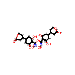 O=C1CC(C2CC(=O)C(C(=NO)OC(=NO)C3=C(O)CC(C4CCOC(=O)C4)CC3=O)=C(O)C2)CCO1